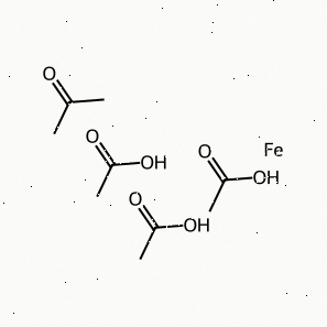 CC(=O)O.CC(=O)O.CC(=O)O.CC(C)=O.[Fe]